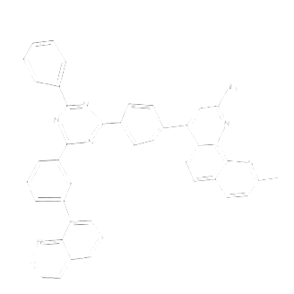 Cc1ccc2ccc3c(-c4ccc(-c5nc(-c6ccccc6)nc(-c6cccc(-c7cccc8cccnc78)c6)n5)cc4)cc(C(C)C)nc3c2n1